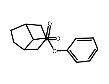 O=C1CC2CCC(C1)C2C(=O)Oc1ccccc1